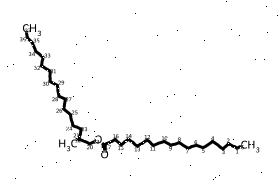 CCCCCCCCCCCCCCCCCC(=O)OCC(C)CCCCCCCCCCCCCCC